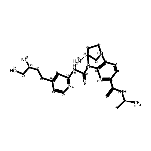 C=C(N[C@H](C)C(F)(F)F)c1ccc2c(n1)N(C(=O)Nc1cc(CC[C@H](C#N)CO)ccn1)[C@@]1(N)CCN2C1